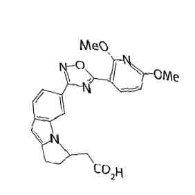 COc1ccc(-c2nc(-c3ccc4cc5n(c4c3)C(CC(=O)O)CC5)no2)c(OC)n1